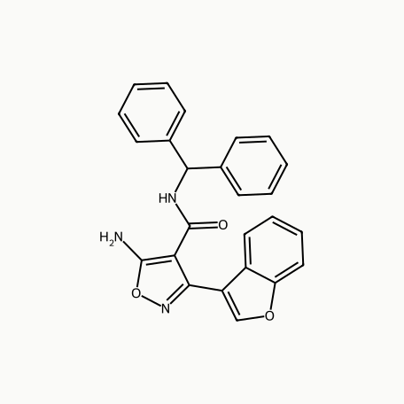 Nc1onc(-c2coc3ccccc23)c1C(=O)NC(c1ccccc1)c1ccccc1